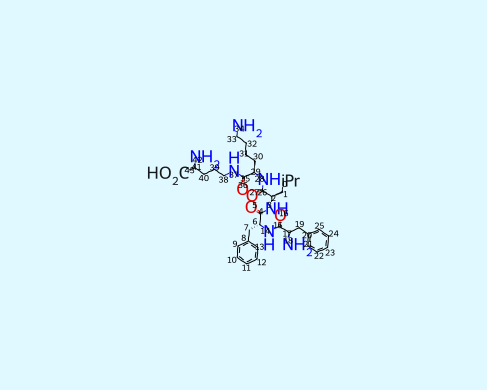 CC(C)C[C@@H](NC(=O)[C@@H](Cc1ccccc1)NC(=O)[C@H](N)Cc1ccccc1)C(=O)N[C@H](CCCCN)C(=O)NCCC[C@H](N)C(=O)O